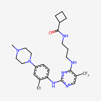 CCc1cc(N2CCN(C)CC2)ccc1Nc1ncc(C(F)(F)F)c(NCCCNC(=O)C2CCC2)n1